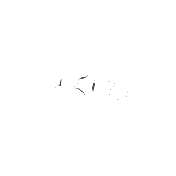 O=C(O)Cc1ccc(CN2CCCCC2)cc1